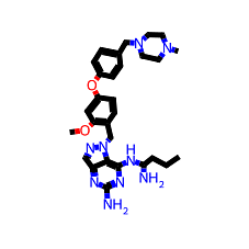 CCCC(N)Nc1nc(N)nc2cnn(Cc3ccc(Oc4ccc(CN5CCN(C)CC5)cc4)cc3OC)c12